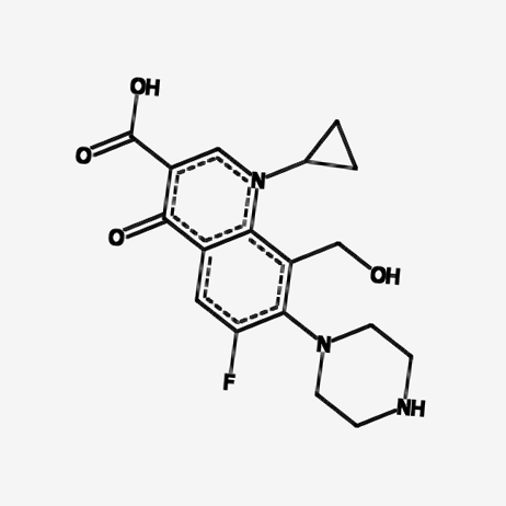 O=C(O)c1cn(C2CC2)c2c(CO)c(N3CCNCC3)c(F)cc2c1=O